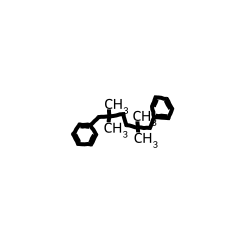 CC(C)(CCC(C)(C)Cc1ccccc1)Cc1ccccc1